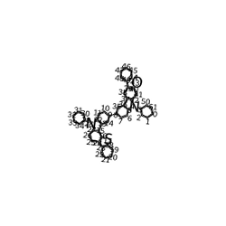 c1ccc(-n2c3ccc(-c4ccc5c(c4)c4c6sc7ccccc7c6ccc4n5-c4ccccc4)cc3c3cc4c(cc32)oc2ccccc24)cc1